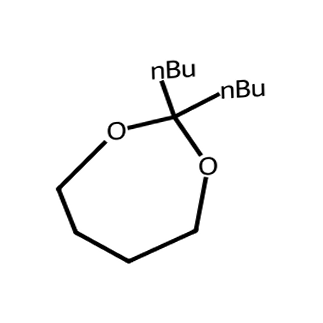 CCCCC1(CCCC)OCCCCO1